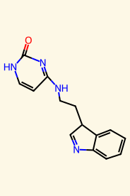 O=c1nc(NCCC2C=Nc3ccccc32)cc[nH]1